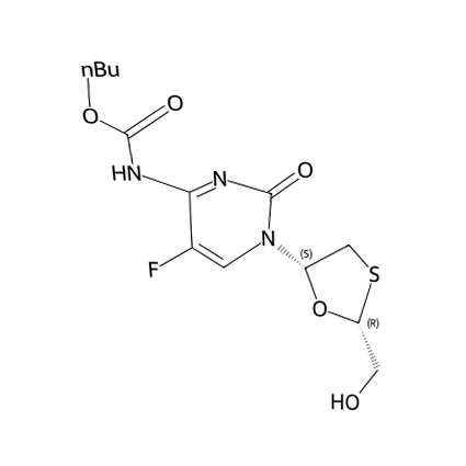 CCCCOC(=O)Nc1nc(=O)n([C@@H]2CS[C@H](CO)O2)cc1F